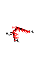 COCC(O)COCC(O)COCC(O)COCC(CO)OCC(O)COCC(COC)OCC(O)COCC(O)COC